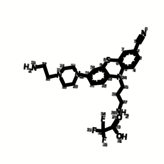 N#Cc1ccc2c(c1)Sc1cc(N3CCN(CCN)CC3)ccc1N2CCCN.O=C(O)C(F)(F)F